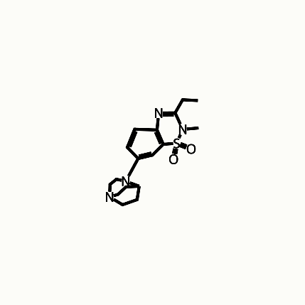 CCC1=Nc2ccc(N3CCN4CCC3CC4)cc2S(=O)(=O)N1C